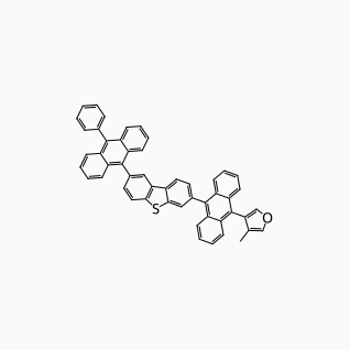 Cc1cocc1-c1c2ccccc2c(-c2ccc3c(c2)sc2ccc(-c4c5ccccc5c(-c5ccccc5)c5ccccc45)cc23)c2ccccc12